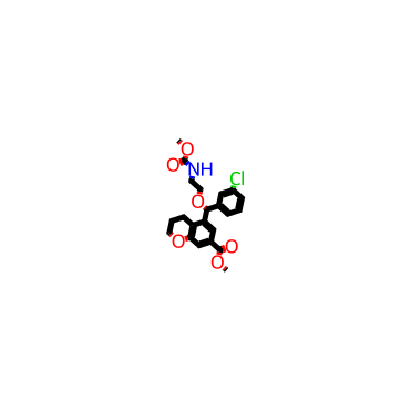 COC(=O)NCCOC(c1cccc(Cl)c1)c1cc(C(=O)OC)cc2c1CCCO2